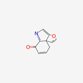 O=C1C=CCC23C=CCOC2=CN=C13